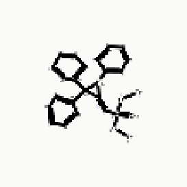 CCOP(=O)(/C=C1\P(c2ccccc2)C1(c1ccccc1)c1ccccc1)OCC